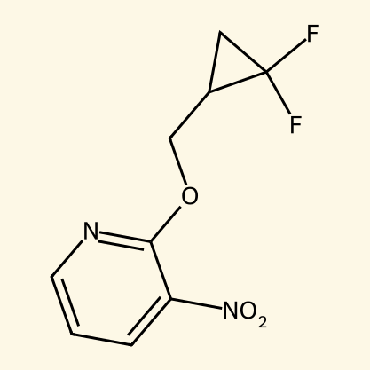 O=[N+]([O-])c1cccnc1OCC1CC1(F)F